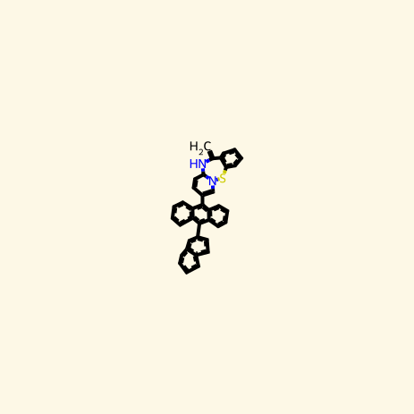 C=C1NC2C=CC(c3c4ccccc4c(-c4ccc5ccccc5c4)c4ccccc34)=CN2Sc2ccccc21